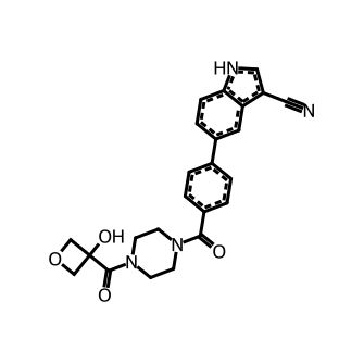 N#Cc1c[nH]c2ccc(-c3ccc(C(=O)N4CCN(C(=O)C5(O)COC5)CC4)cc3)cc12